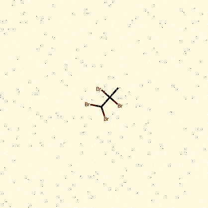 [CH2]C(Br)(Br)C(Br)Br